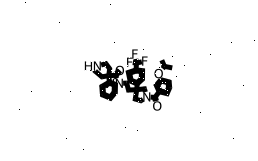 CC(C)Oc1cccc(C(=O)N2CCC(CCNC(=O)C3(c4ccccc4)CCNCC3)(c3ccc(C(F)(F)F)cc3)C2)c1